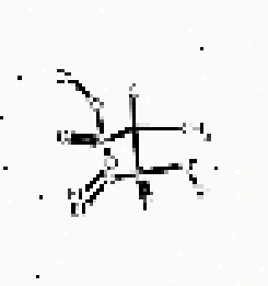 CCOP(=O)(OCC)C(C)(Cl)P(=O)(OCC)OCC